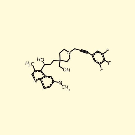 COc1ccc2ncc(C)c([C@@H](O)CCC3(CO)CCN(CC#Cc4cc(F)c(F)c(F)c4)CC3)c2c1